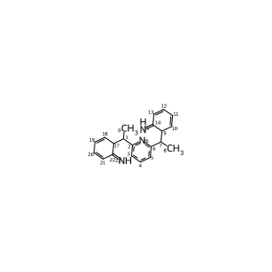 CC(c1cccc(C(C)C2C=CC=CC2=N)n1)C1C=CC=CC1=N